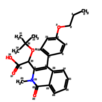 CCCOc1ccc(-c2c(C(OC(C)(C)C)C(=O)O)n(C)c(=O)c3ccccc23)cc1